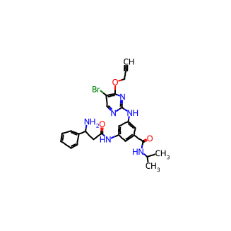 C#CCOc1nc(Nc2cc(NC(=O)CC(N)c3ccccc3)cc(C(=O)NC(C)C)c2)ncc1Br